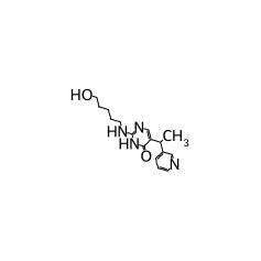 CC(c1cccnc1)c1cnc(NCCCCCO)[nH]c1=O